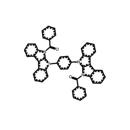 O=C(c1ccccc1)n1c2ccccc2c2c3ccccc3n(-c3ccc(-n4c5ccccc5c5c6ccccc6n(C(=O)c6ccccc6)c54)cc3)c21